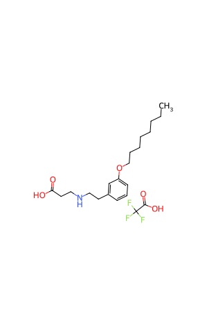 CCCCCCCCOc1cccc(CCNCCC(=O)O)c1.O=C(O)C(F)(F)F